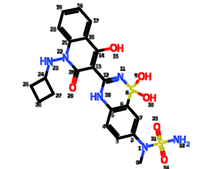 CN(c1ccc2c(c1)S(O)(O)N=C(c1c(O)c3ccccc3n(NC3CCC3)c1=O)N2)S(N)(=O)=O